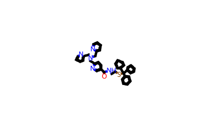 O=C(NCCSC(c1ccccc1)(c1ccccc1)c1ccccc1)c1ccc(CN(Cc2ccccn2)Cc2ccccn2)nc1